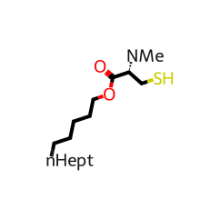 CCCCCCCCCCCCOC(=O)[C@@H](CS)NC